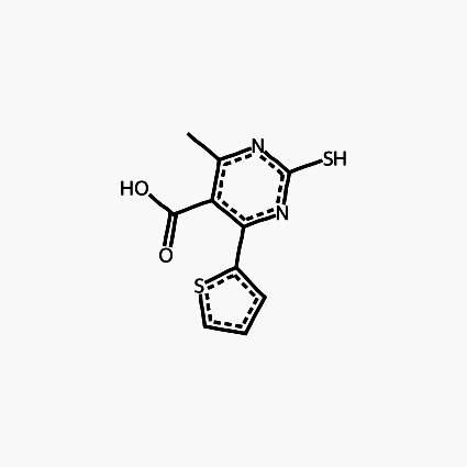 Cc1nc(S)nc(-c2cccs2)c1C(=O)O